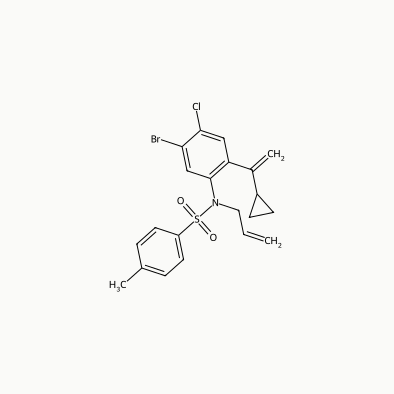 C=CCN(c1cc(Br)c(Cl)cc1C(=C)C1CC1)S(=O)(=O)c1ccc(C)cc1